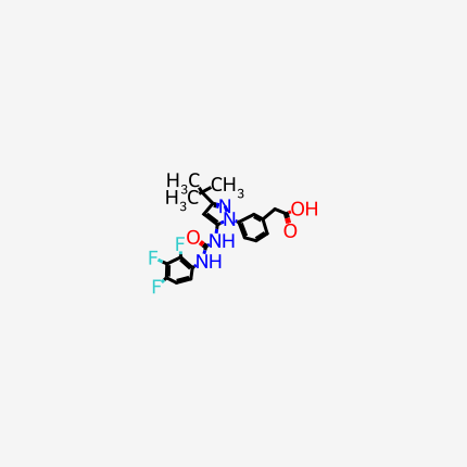 CC(C)(C)c1cc(NC(=O)Nc2ccc(F)c(F)c2F)n(-c2cccc(CC(=O)O)c2)n1